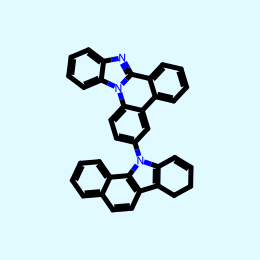 C1=Cc2c(c3ccc4ccccc4c3n2-c2ccc3c(c2)c2ccccc2c2nc4ccccc4n32)CC1